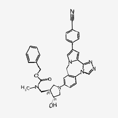 CN(C[C@H]1CN(c2ccc3c(c2)Cn2cc(-c4ccc(C#N)cc4)cc2-c2nncn2-3)C[C@@H]1O)C(=O)OCc1ccccc1